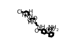 NS(=O)(=O)c1ccccc1-c1ccc(C(=O)NCCNC(=O)C(=O)Nc2ccc(Cl)nn2)cc1